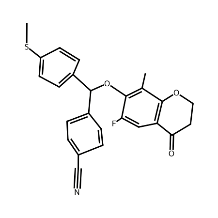 CSc1ccc(C(Oc2c(F)cc3c(c2C)OCCC3=O)c2ccc(C#N)cc2)cc1